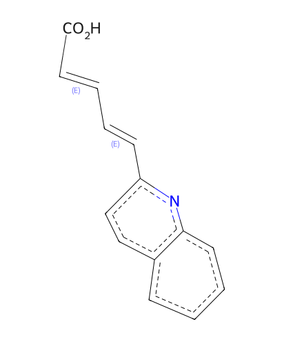 O=C(O)/C=C/C=C/c1ccc2ccccc2n1